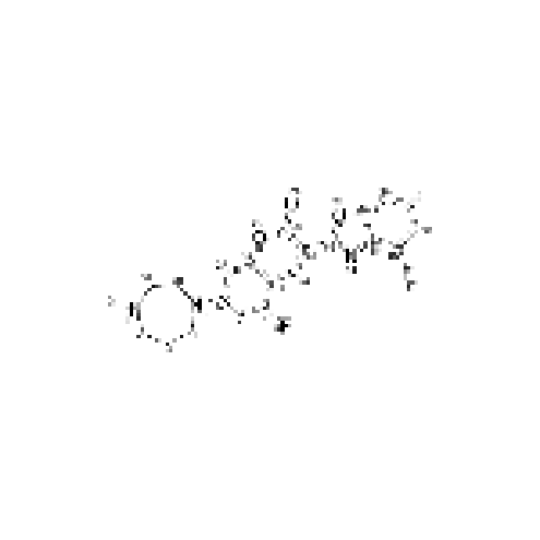 CN1CCCN(c2cc(F)c3cc(-c4nc5c(F)cccc5o4)c(=O)oc3c2)CC1